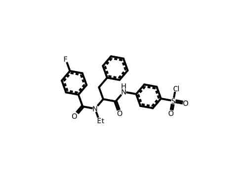 CCN(C(=O)c1ccc(F)cc1)C(Cc1ccccc1)C(=O)Nc1ccc(S(=O)(=O)Cl)cc1